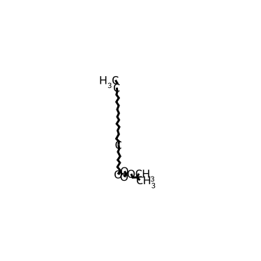 CCCCCCCCCCCCCCCCCCCCCCCCCC(=O)OC(=O)OCC(C)C